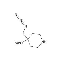 COC1(CN=[N+]=[N-])CCNCC1